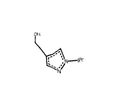 CC(C)n1cc(CO)cn1